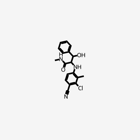 CNC(=O)C(Nc1ccc(C#N)c(Cl)c1C)C(O)c1ccccc1